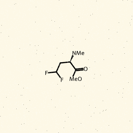 CN[C@H](CC(F)F)C(=O)OC